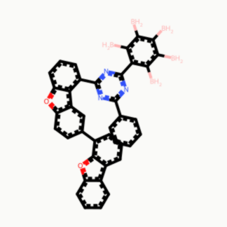 Bc1c(B)c(B)c(-c2nc(-c3ccccc3)nc(-c3cccc4oc5ccc(-c6cccc7c6oc6ccccc67)cc5c34)n2)c(B)c1B